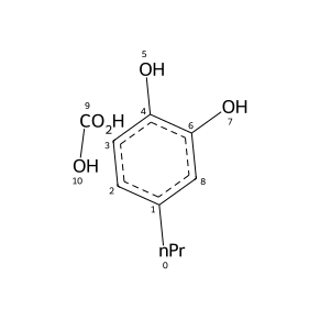 CCCc1ccc(O)c(O)c1.O=C(O)O